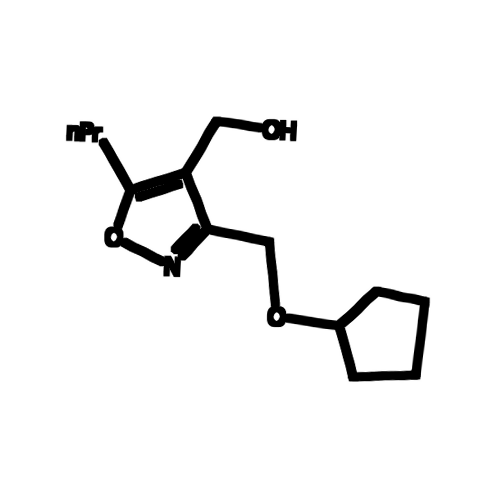 CCCc1onc(COC2CCCC2)c1CO